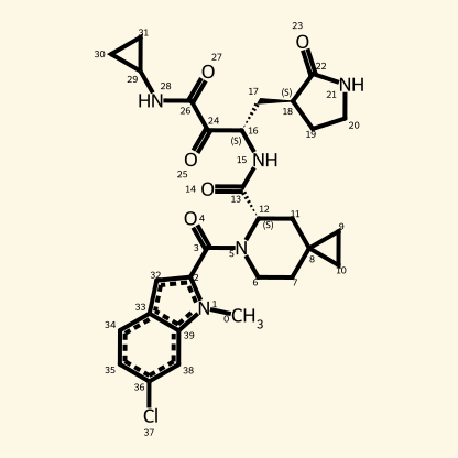 Cn1c(C(=O)N2CCC3(CC3)C[C@H]2C(=O)N[C@@H](C[C@@H]2CCNC2=O)C(=O)C(=O)NC2CC2)cc2ccc(Cl)cc21